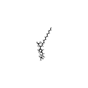 CCCCCCCCCCCCC(OC(C)=O)c1coc(C[Si](C)(C)C(C)(C)C)c1